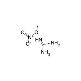 CO[N+](=O)[O-].N=C(N)N